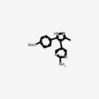 COc1ccc(-c2[nH]nc(C)c2-c2cnc(N)nc2)cc1